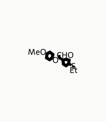 CCSc1ccc(C(C=O)Oc2ccc(OC)cc2)cc1